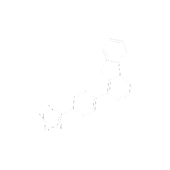 c1ccc2c(c1)Cc1c(-c3ccc(-c4nnn[nH]4)cc3)cccc1-2